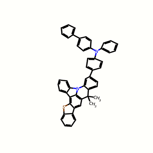 CC1(C)c2ccc(-c3ccc(N(c4ccccc4)c4ccc(-c5ccccc5)cc4)cc3)cc2-n2c3ccccc3c3c4sc5ccccc5c4cc1c32